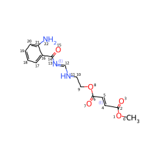 COC(=O)/C=C/C(=O)OCCN/C=N/C(=O)c1ccccc1N